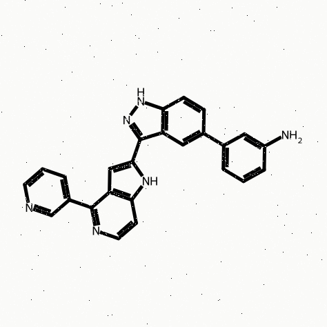 Nc1cccc(-c2ccc3[nH]nc(-c4cc5c(-c6cccnc6)nccc5[nH]4)c3c2)c1